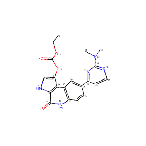 CCOC(=O)Oc1c[nH]c2c(=O)[nH]c3ccc(-c4ccnc(N(C)C)n4)cc3c12